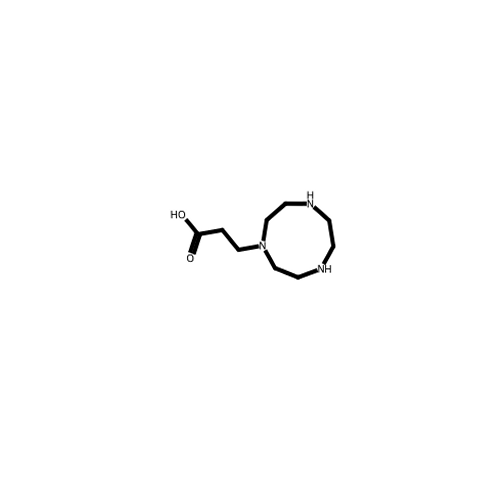 O=C(O)CCN1CCNCCNCC1